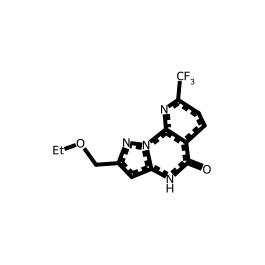 CCOCc1cc2[nH]c(=O)c3ccc(C(F)(F)F)nc3n2n1